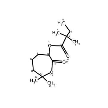 CCC(C)(C)C(=O)OC1CCCC(C)(C)OC1=O